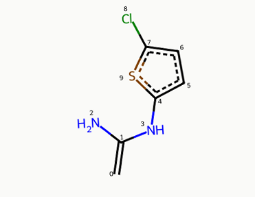 C=C(N)Nc1ccc(Cl)s1